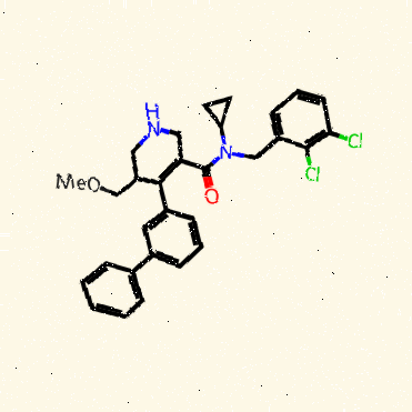 COCC1CNCC(C(=O)N(Cc2cccc(Cl)c2Cl)C2CC2)=C1c1cccc(-c2ccccc2)c1